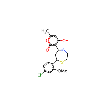 COc1cc(Cl)ccc1C1CC(c2c(O)cc(C)oc2=O)=NCCS1